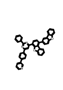 c1ccc(-c2nc(-c3ccc(-c4cccnc4)cc3)cc(-c3ccc(-c4ccc5oc6ccccc6c5c4)c4c3oc3ccccc34)n2)cc1